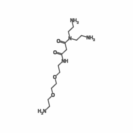 NCCOCCOCCNC(=O)CC(=O)N(CCN)CCN